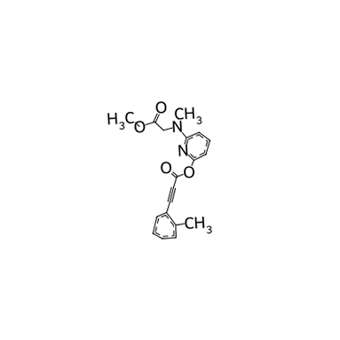 COC(=O)CN(C)c1cccc(OC(=O)C#Cc2ccccc2C)n1